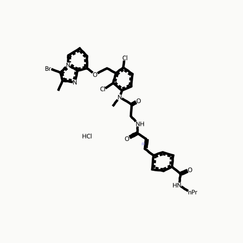 CCCNC(=O)c1ccc(/C=C/C(=O)NCC(=O)N(C)c2ccc(Cl)c(COc3cccn4c(Br)c(C)nc34)c2Cl)cc1.Cl